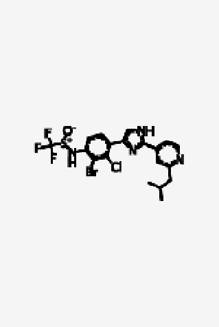 CC(C)Cc1cc(-c2nc(-c3ccc(N[S+]([O-])C(F)(F)F)c(Br)c3Cl)c[nH]2)ccn1